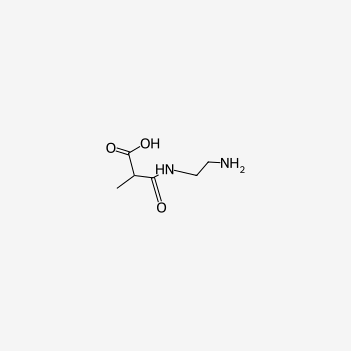 CC(C(=O)O)C(=O)NCCN